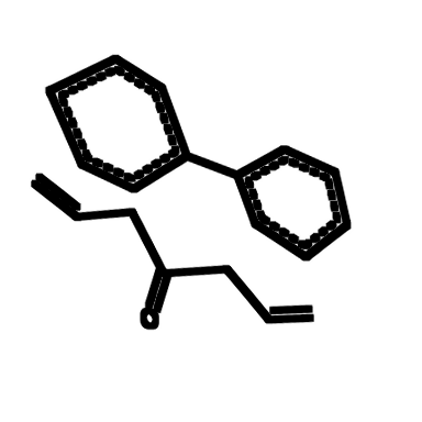 C=CCC(=O)CC=C.c1ccc(-c2ccccc2)cc1